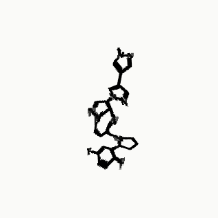 Cn1cc(-c2cnn(-c3cnn4ccc(N5CCC[C@H]5c5cc(F)ccc5F)nc34)c2)cn1